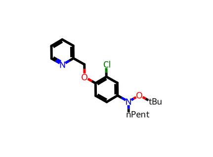 CCCCCN(OC(C)(C)C)c1ccc(OCc2ccccn2)c(Cl)c1